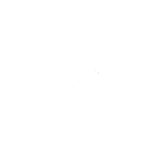 Cc1cc2oc3ccccc3c2cc1N1C(C)C(C)(C)CC12CCCCC2